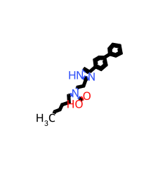 CCCCCCN(CCc1nc(-c2ccc(-c3ccccc3)cc2)c[nH]1)C(=O)O